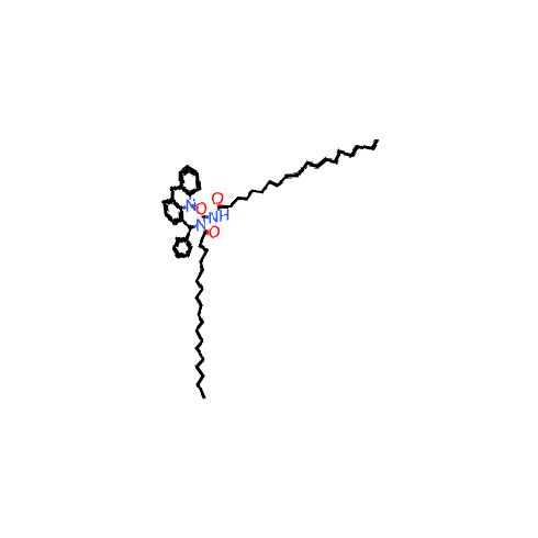 CCCCCCCCCCCCCCCCCCC(=O)NC1ON2c3ccccc3Cc3cccc(c32)C(c2ccccc2)N1C(=O)CCCCCCCCCCCCCCCCCC